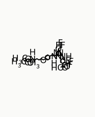 CC(C)(C)OC(=O)NCCCCOc1ccc(CNc2nc(Nc3ccc(C(=O)O)c(C(=O)C(F)(F)F)c3)nc(OCC(F)(F)F)n2)cc1